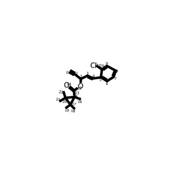 C#CC(/C=C/c1ccccc1Cl)OC(=O)C1(C)C(C)(C)C1(C)C